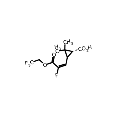 CC1(C)C(/C=C(/F)C(=O)OCC(F)(F)F)[C@H]1C(=O)O